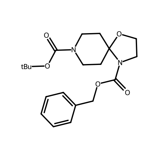 CC(C)(C)OC(=O)N1CCC2(CC1)OCCN2C(=O)OCc1ccccc1